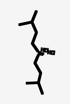 CC(C)C[CH2][Sn][CH2]CC(C)C.Cl.Cl